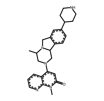 CC1CN(c2cc(=O)n(C)c3ncccc23)CC2c3ccc(C4CCNCC4)cc3CN12